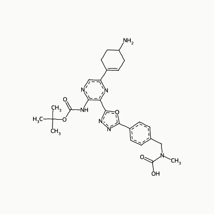 CN(Cc1ccc(-c2nnc(-c3nc(C4=CCC(N)CC4)cnc3NC(=O)OC(C)(C)C)o2)cc1)C(=O)O